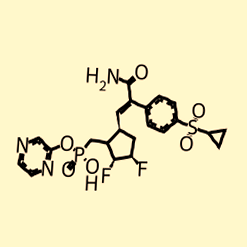 NC(=O)/C(=C/[C@H]1C[C@@H](F)[C@@H](F)C1CP(=O)(O)Oc1cnccn1)c1ccc(S(=O)(=O)C2CC2)cc1